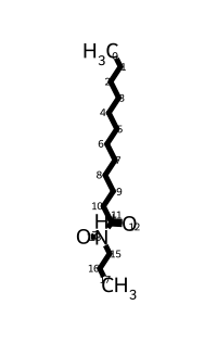 CCCCCCCCCCCC(=O)[NH+]([O-])CCC